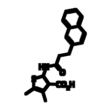 CC1=C(C)C(C(=O)O)C(NC(=O)CCc2ccc3ccccc3c2)S1